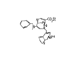 CCOC(=O)c1cnc2c(N(C)Cc3ccccc3)cc(-c3c[nH]c4ncccc34)nn12